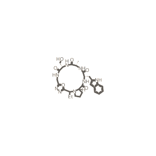 CCC1c2nnc(o2)CNC(=O)[C@H](CO)NC(=O)[C@H](C)NC(=O)[C@H](Cc2cc3ccccc3[nH]2)NC(=O)[C@@H]2CCCN12